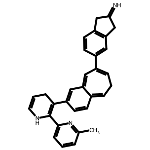 Cc1cccc(C2=C(c3ccc4c(c3)=CC(c3ccc5c(c3)CC(=N)C5)=CCC=4)CC=CN2)n1